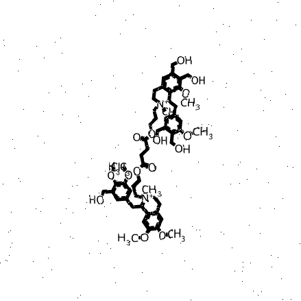 COc1cc2c(cc1OC)C(Cc1cc(CO)c(OC)c(OC)c1)[N+](C)(CCCOC(=O)CCC(=O)OCCC[N+]1(C)CCc3cc(CO)c(CO)c(OC)c3C1Cc1cc(CO)c(CO)c(OC)c1)CC2